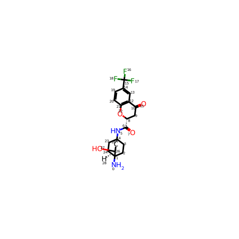 NC12CCC(NC(=O)[C@H]3CC(=O)c4cc(C(F)(F)F)ccc4O3)(CC1)C[C@@H]2O